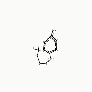 CC1(C)CCCNc2ccc(N)cc21